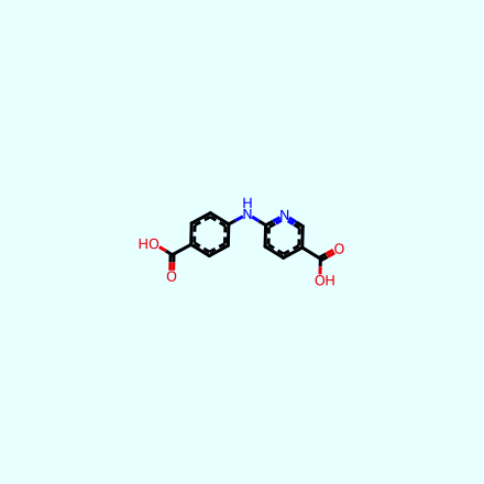 O=C(O)c1ccc(Nc2ccc(C(=O)O)cn2)cc1